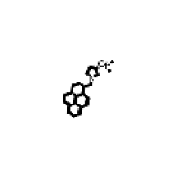 CP(C)O[C@@H]1CCN(Cc2ccc3ccc4cccc5ccc2c3c45)C1